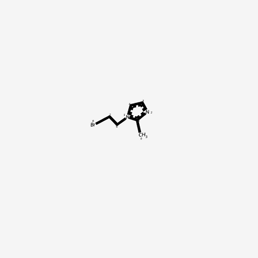 Cc1nccn1CCBr